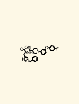 O=C(N[C@@H](Cc1cn(Cc2ccccc2)cn1)C(=O)O)C1CCN(c2cccc(Oc3ccc(F)cc3)c2)CC1